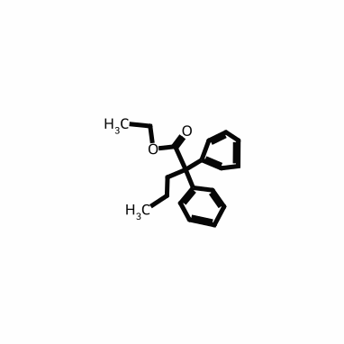 CCCC(C(=O)OCC)(c1ccccc1)c1ccccc1